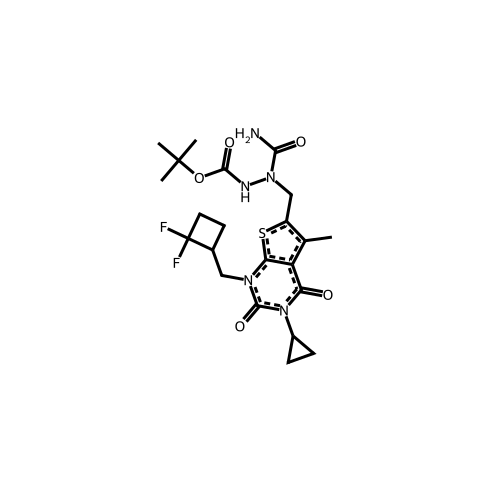 Cc1c(CN(NC(=O)OC(C)(C)C)C(N)=O)sc2c1c(=O)n(C1CC1)c(=O)n2CC1CCC1(F)F